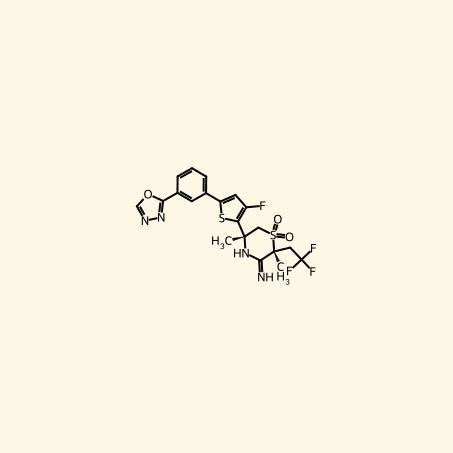 C[C@@]1(c2sc(-c3cccc(-c4nnco4)c3)cc2F)CS(=O)(=O)[C@](C)(CC(F)(F)F)C(=N)N1